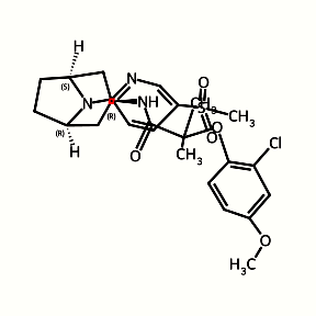 COc1ccc(OC(C)(C)C(=O)N[C@H]2C[C@H]3CC[C@@H](C2)N3c2ccc(S(C)(=O)=O)cn2)c(Cl)c1